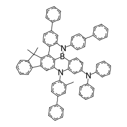 Cc1cc(-c2ccccc2)ccc1N1c2cc(N(c3ccccc3)c3ccccc3)ccc2B2c3c1cc1c(c3-c3ccc(-c4ccccc4)cc3N2c2ccc(-c3ccccc3)cc2)C(C)(C)c2ccccc2-1